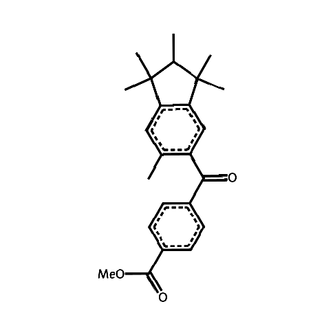 COC(=O)c1ccc(C(=O)c2cc3c(cc2C)C(C)(C)C(C)C3(C)C)cc1